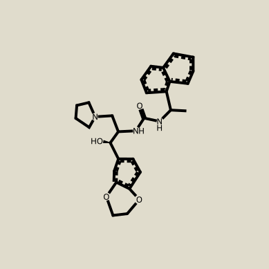 CC(NC(=O)NC(CN1CCCC1)[C@H](O)c1ccc2c(c1)OCCO2)c1cccc2ccccc12